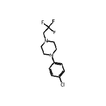 FC(F)(F)CN1CCN(c2ccc(Cl)cc2)CC1